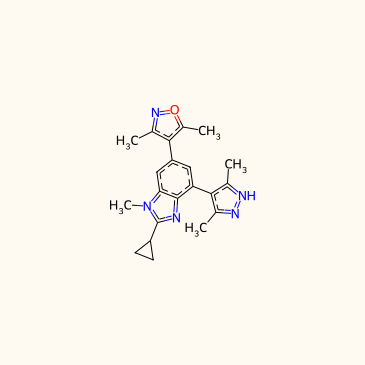 Cc1n[nH]c(C)c1-c1cc(-c2c(C)noc2C)cc2c1nc(C1CC1)n2C